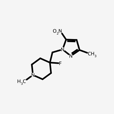 Cc1cc([N+](=O)[O-])n(CC2(F)CCN(C)CC2)n1